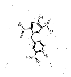 O=S(O)c1cc(Oc2cc(S(=O)O)c(O)cc2S(=O)O)ccc1O